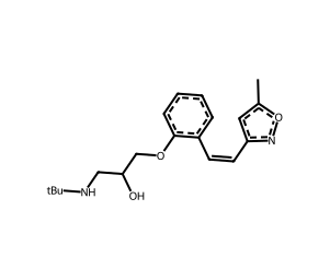 Cc1cc(/C=C\c2ccccc2OCC(O)CNC(C)(C)C)no1